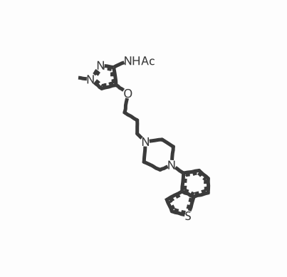 CC(=O)Nc1nn(C)cc1OCCCN1CCN(c2cccc3sccc23)CC1